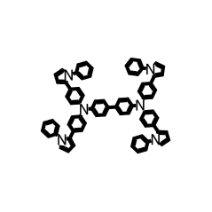 c1ccc(-n2cccc2-c2ccc(N(c3ccc(-c4ccc(N(c5ccc(-c6cccn6-c6ccccc6)cc5)c5ccc(-c6cccn6-c6ccccc6)cc5)cc4)cc3)c3ccc(-c4cccn4-c4ccccc4)cc3)cc2)cc1